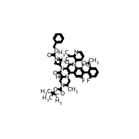 COc1cccc(F)c1-c1c(F)cc2c3c(c(=O)n(-c4c(C)ccnc4C(C)C)c2c1F)N(C1CN(C(=O)OCc2ccccc2)C1)C(=O)[C@H]1CN(C(=O)OC(C)(C)C)[C@H](C)CN31